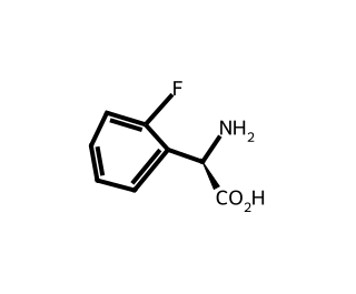 N[C@@H](C(=O)O)c1ccccc1F